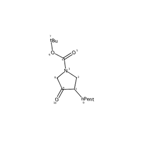 CCCCCC1CN(C(=O)OC(C)(C)C)CC1=O